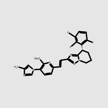 COc1nc(/C=C/c2nc3n(n2)CCC[C@H]3c2c(F)ccc(F)c2F)ccc1-n1cnc(C)c1